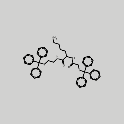 NCCCCC(NC(=O)CSC(c1ccccc1)(c1ccccc1)c1ccccc1)C(=O)NCCSC(c1ccccc1)(c1ccccc1)c1ccccc1